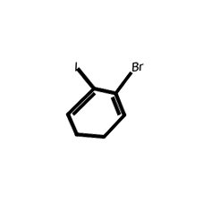 BrC1=CCCC=C1I